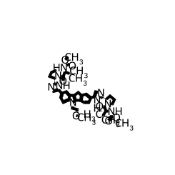 COCCn1c2c(c3cc(-c4cnc([C@@H]5CCCN5C(=O)C(NC(=O)OC)C(C)C)[nH]4)ccc31)Cc1cc(-c3cnc([C@@H]4CCCN4C(=O)C(NC(=O)OC)C(C)C)[nH]3)ccc1-2